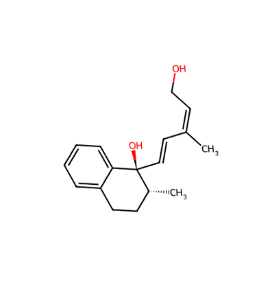 CC(=C/CO)/C=C/[C@@]1(O)c2ccccc2CC[C@H]1C